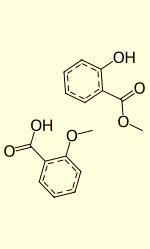 COC(=O)c1ccccc1O.COc1ccccc1C(=O)O